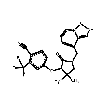 CC1(C)CN(CC2=CC=CN3SNC=C23)C(=O)C1Oc1ccc(C#N)c(C(F)(F)F)c1